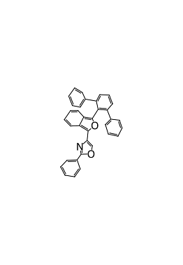 c1ccc(-c2nc(-c3oc(-c4c(-c5ccccc5)cccc4-c4ccccc4)c4ccccc34)co2)cc1